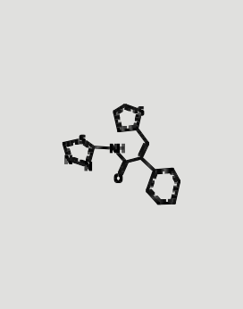 O=C(Nc1nncs1)C(=Cc1cccs1)c1ccccc1